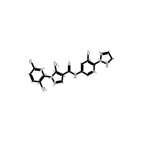 O=C(Nc1cnc(N2N=CCN2)c(Cl)c1)c1cnn(-c2nc(Cl)ccc2C(F)(F)F)c1C(F)(F)F